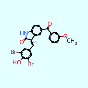 COc1cccc(C(=O)c2ccc3c(c2)/C(=C/c2cc(Br)c(O)c(Br)c2)C(=O)N3)c1